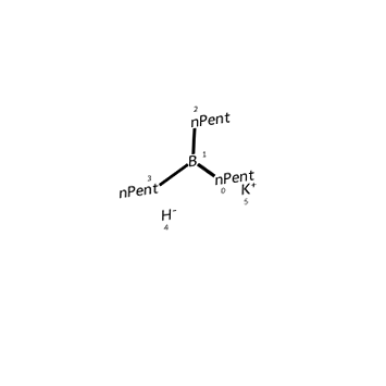 CCCCCB(CCCCC)CCCCC.[H-].[K+]